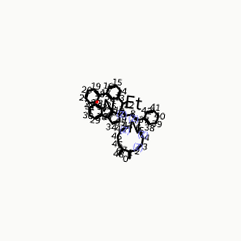 C=C1/C=C\C=C/N(/C(=C\C=C/C(CC)c2cccc(C3=CC=CCC3)c2-n2c3c(c4ccccc42)C=CC3)C2=CCCC=C2)/C=C\CCC1=C